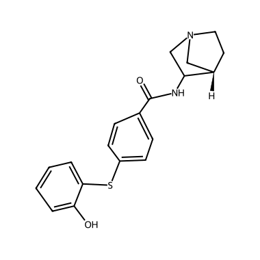 O=C(NC1CN2CC[C@H]1C2)c1ccc(Sc2ccccc2O)cc1